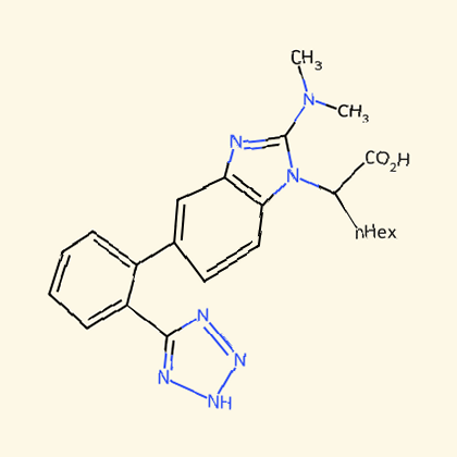 CCCCCCC(C(=O)O)n1c(N(C)C)nc2cc(-c3ccccc3-c3nn[nH]n3)ccc21